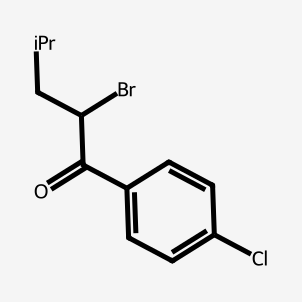 CC(C)CC(Br)C(=O)c1ccc(Cl)cc1